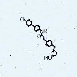 O=C(/C=C/c1ccc(CN2CC[C@H](O)C2)cc1)Nc1ccc(-c2ccc(Cl)cc2)cc1